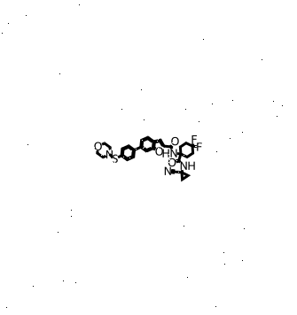 N#CC1(NC(=O)C2(NC(=O)c3cc4ccc(-c5ccc(SN6CCOCC6)cc5)cc4o3)CCC(F)(F)CC2)CC1